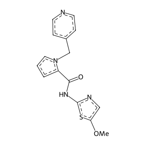 COc1cnc(NC(=O)c2cccn2Cc2ccncc2)s1